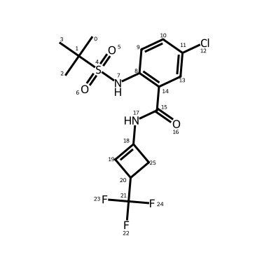 CC(C)(C)S(=O)(=O)Nc1ccc(Cl)cc1C(=O)NC1=CC(C(F)(F)F)C1